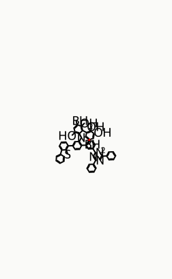 Bc1cc(O)c2c(c1O)c1c(O)c(O)cc(B)c1n2-c1cc(-c2cccc3c2sc2ccccc23)ccc1-c1cccc(-c2nc(-c3ccccc3)nc(-c3ccccc3)n2)c1